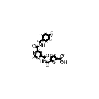 C[C@H](NC(=O)c1cc(C(=O)NCc2ccc(F)cc2)ncn1)c1ccc(C(=O)O)s1